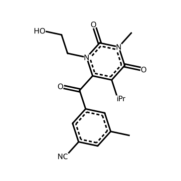 Cc1cc(C#N)cc(C(=O)c2c(C(C)C)c(=O)n(C)c(=O)n2CCO)c1